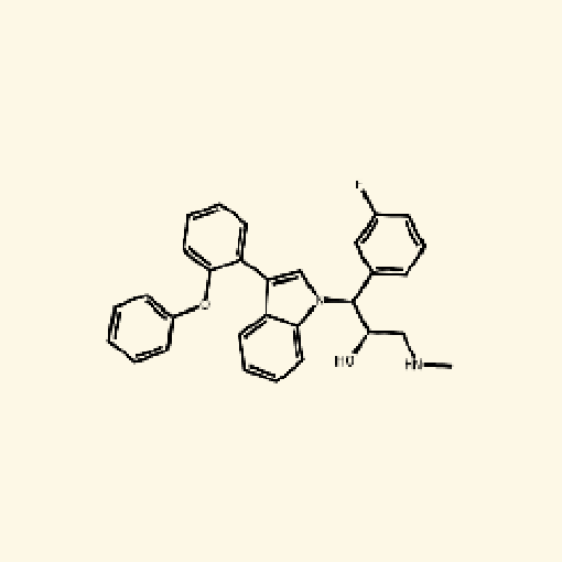 CNC[C@@H](O)[C@H](c1cccc(F)c1)n1cc(-c2ccccc2Oc2ccccc2)c2ccccc21